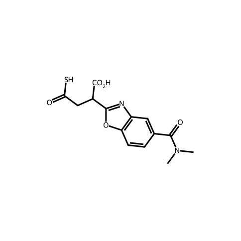 CN(C)C(=O)c1ccc2oc(C(CC(=O)S)C(=O)O)nc2c1